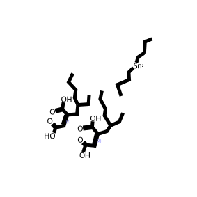 CCCCC(CC)C/C(=C/C(=O)O)C(=O)O.CCCCC(CC)C/C(=C/C(=O)O)C(=O)O.CCC[CH2][Sn][CH2]CCC